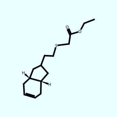 CCOC(=O)CSCCC1C[C@H]2CC=CC[C@H]2C1